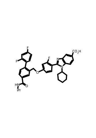 CC(C)NC(=O)c1ccc(-c2ccc(F)cc2F)c(COc2ccc(-c3nc4cc(C(=O)O)ccc4n3C3CCCCC3)c(F)c2)c1